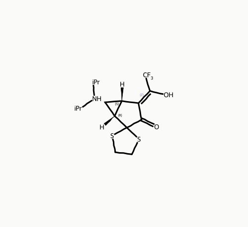 CC(C)NC(C)C.O=C1/C(=C(\O)C(F)(F)F)[C@H]2C[C@H]2C12SCCS2